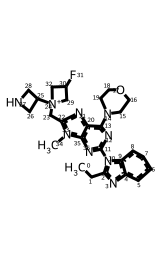 CCc1nc2ccccc2n1-c1nc(N2CCOCC2)c2nc(C[N+]3(C4CNC4)CC(F)C3)n(C)c2n1